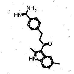 Cc1ccc2[nH]c(C)c(C(=O)CCc3ccc(C(=N)N)cc3)c2c1